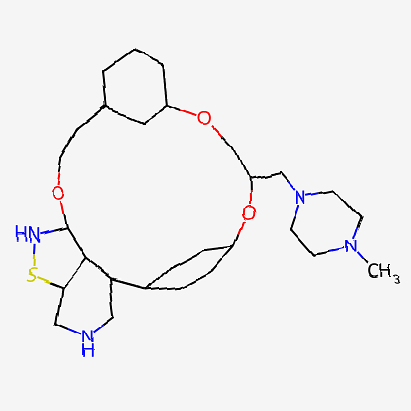 CN1CCN(CC2COC3CCCC(CCOC4NSC5CNCC(C6CCC(CC6)O2)C45)C3)CC1